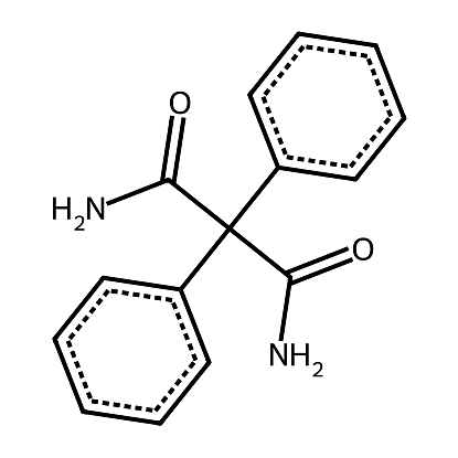 NC(=O)C(C(N)=O)(c1ccccc1)c1ccccc1